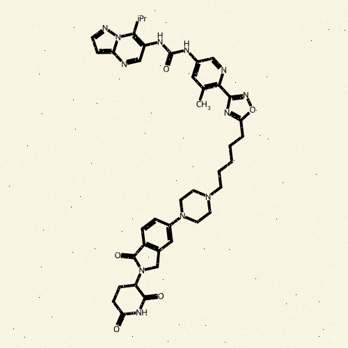 Cc1cc(NC(=O)Nc2cnc3ccnn3c2C(C)C)cnc1-c1noc(CCCCCN2CCN(c3ccc4c(c3)CN(C3CCC(=O)NC3=O)C4=O)CC2)n1